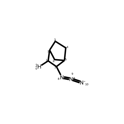 [2H]C1C2CCC(C2)C1N=[N+]=[N-]